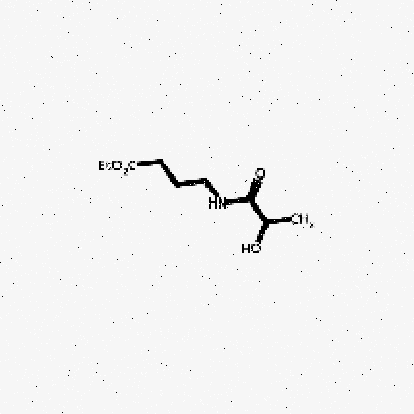 CCOC(=O)CCCNC(=O)C(C)O